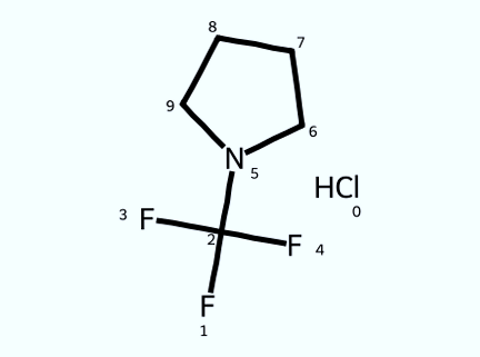 Cl.FC(F)(F)N1CCCC1